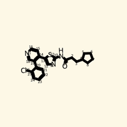 O=C(CCC1CCCC1)Nc1ncc(-c2ccncc2-c2ccccc2Cl)s1